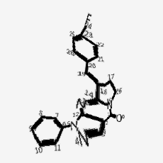 O=c1c2cnn(-c3ccccc3)c2nc2n1CC/C2=C\c1ccc(F)cc1